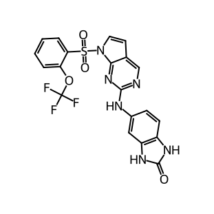 O=c1[nH]c2ccc(Nc3ncc4ccn(S(=O)(=O)c5ccccc5OC(F)(F)F)c4n3)cc2[nH]1